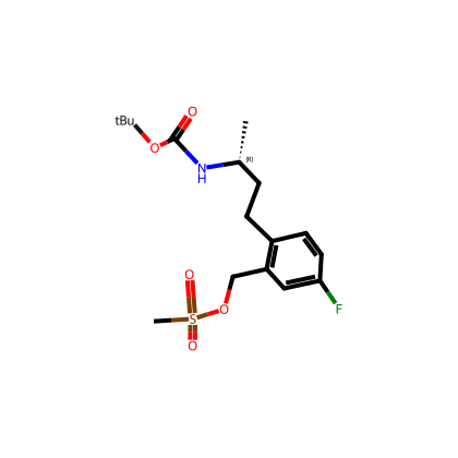 C[C@H](CCc1ccc(F)cc1COS(C)(=O)=O)NC(=O)OC(C)(C)C